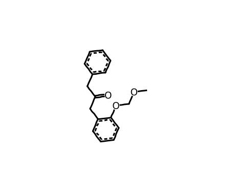 COCOc1ccccc1CC(=O)Cc1ccccc1